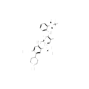 [2H]C(C)(C)Oc1cc(C2CCNCC2)c(C)cc1Nc1ncc(Cl)c(Nc2ccccc2S(=O)(=O)C([2H])(C)C)n1